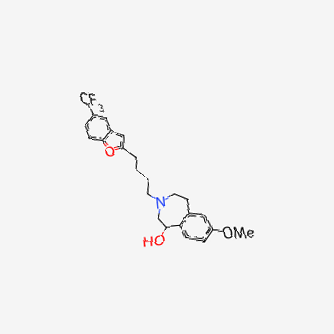 COc1ccc2c(c1)CCN(CCCCc1cc3cc(C(F)(F)F)ccc3o1)CC2O